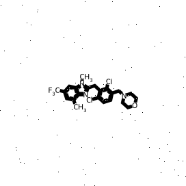 Cc1cc(C(F)(F)F)cc2c1nc(Cc1c(Cl)ccc(CN3CCOCC3)c1Cl)n2C